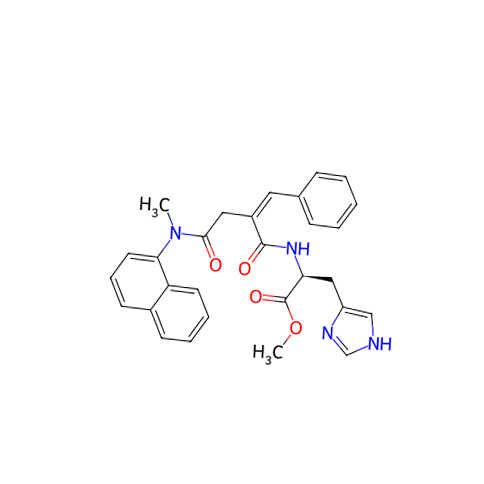 COC(=O)[C@H](Cc1c[nH]cn1)NC(=O)/C(=C\c1ccccc1)CC(=O)N(C)c1cccc2ccccc12